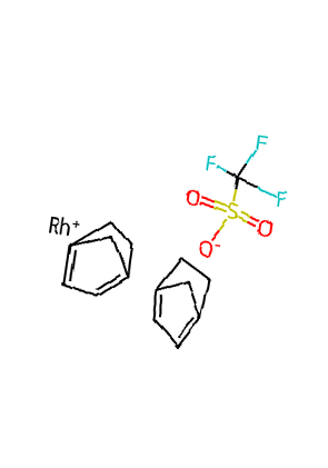 C1=C2CCC(=C1)C2.C1=C2CCC(=C1)C2.O=S(=O)([O-])C(F)(F)F.[Rh+]